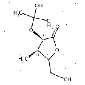 C[C@@H]1C(CO)OC(=O)[C@@H]1OC(C)(C)O